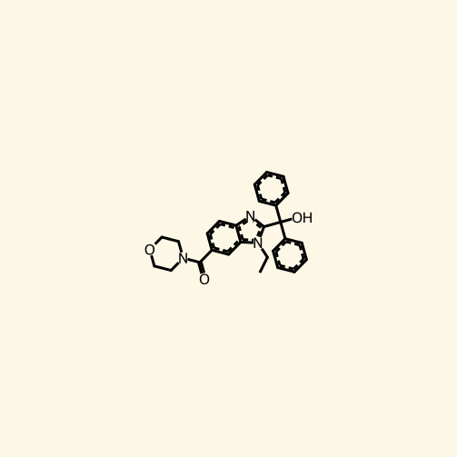 CCn1c(C(O)(c2ccccc2)c2ccccc2)nc2ccc(C(=O)N3CCOCC3)cc21